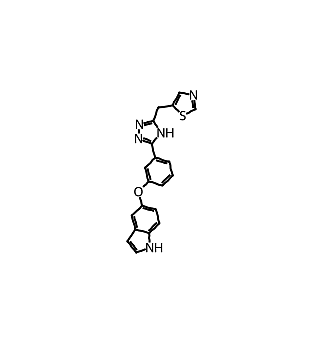 c1cc(Oc2ccc3[nH]ccc3c2)cc(-c2nnc(Cc3cncs3)[nH]2)c1